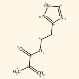 C=C(C)C(=O)OCCc1nc[nH]n1